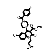 CCOC(=O)c1c(N2CCN(C(=O)c3ccc(F)cc3)CC2)c2cc(Cl)ccc2n(CCN(C)C)c1=O